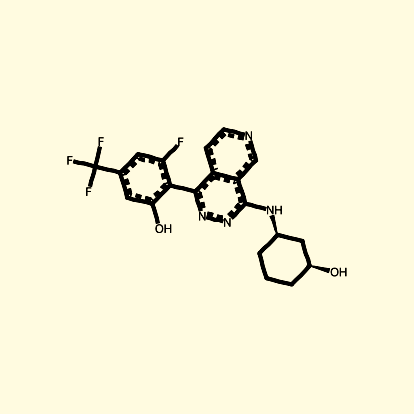 Oc1cc(C(F)(F)F)cc(F)c1-c1nnc(N[C@@H]2CCC[C@H](O)C2)c2cnccc12